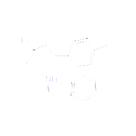 CN[C@@H](C)Cc1ccccc1.O=C(O)C=Cc1ccc(O)cc1